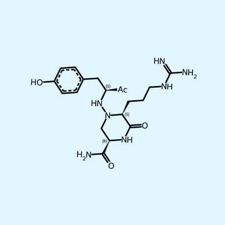 CC(=O)[C@H](Cc1ccc(O)cc1)NN1C[C@H](C(N)=O)NC(=O)[C@@H]1CCCNC(=N)N